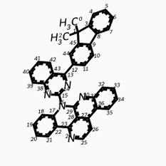 CC1(C)c2ccccc2-c2ccc(-c3nc(N4c5ccccc5-c5nccc6c5c4nc4ccccc46)nc4ccccc34)cc21